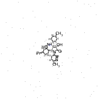 Cc1ccc(/C(=N/O)C2=C(O)C(=O)N(c3ccc(C)nn3)C2c2ccc(C(C)C)cc2)cc1